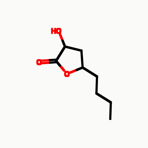 CCCCC1CC(O)C(=O)O1